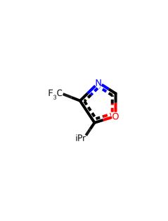 CC(C)c1ocnc1C(F)(F)F